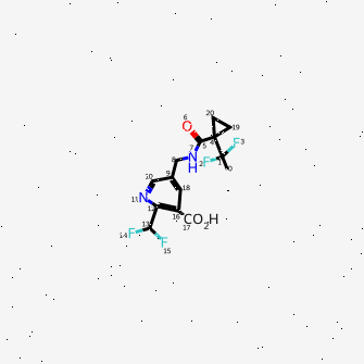 CC(F)(F)C1(C(=O)NCc2cnc(C(F)F)c(C(=O)O)c2)CC1